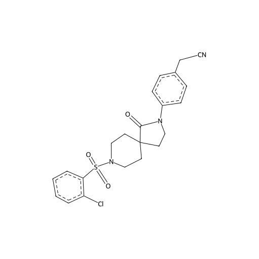 N#CCc1ccc(N2CCC3(CCN(S(=O)(=O)c4ccccc4Cl)CC3)C2=O)cc1